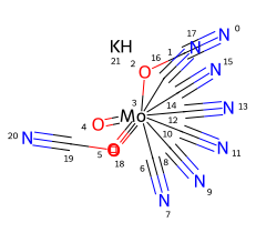 N#C[O][Mo](=[O])(=[O])([C]#N)([C]#N)([C]#N)([C]#N)([C]#N)([C]#N)[O]C#N.[KH]